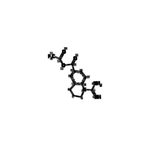 N=C(N)N1CCCc2cc(C(=O)OC(=O)C(F)(F)F)ccc21